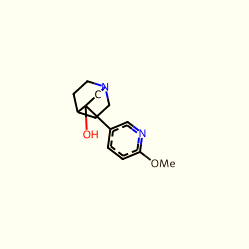 COc1ccc(C2(O)CN3CCC2CC3)cn1